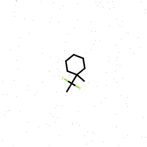 CC(F)(F)C1(C)CCCCC1